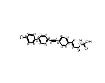 C/C(=C\[C@H](C)NC(=O)O)c1ccc(C#Cc2ccc(-c3ccc(Cl)cc3)cn2)cc1